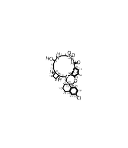 O=C1NS(=O)(=O)CCNC(O)CC[C@@H]2CC[C@H]2CN2C[C@@]3(CCCc4cc(Cl)ccc43)COc3ccc1cc32